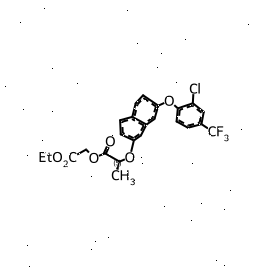 CCOC(=O)COC(=O)[C@H](C)Oc1ccc2ccc(Oc3ccc(C(F)(F)F)cc3Cl)cc2c1